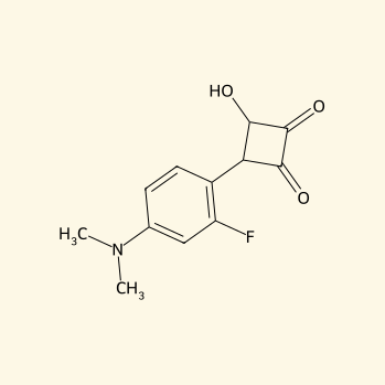 CN(C)c1ccc(C2C(=O)C(=O)C2O)c(F)c1